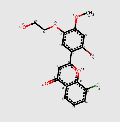 COc1cc(Br)c(-c2cc(=O)c3cccc(Cl)c3o2)cc1OCCO